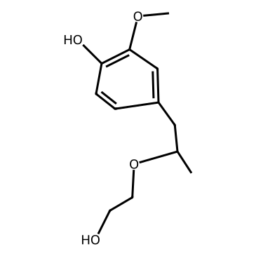 COc1cc(CC(C)OCCO)ccc1O